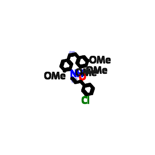 COc1ccc(/C=C\c2cc(OC)c(OC)c(OC)c2)cc1N/C=C\C(=O)c1cccc(Cl)c1